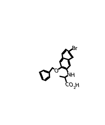 CC(Nc1cc2cc(Br)ccc2cc1OCc1ccccc1)C(=O)O